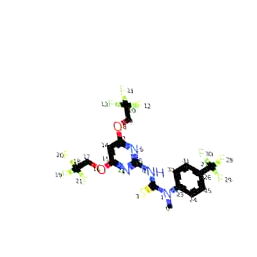 CN(C(=S)Nc1nc(OCC(F)(F)F)cc(OCC(F)(F)F)n1)c1ccc(C(F)(F)F)cc1